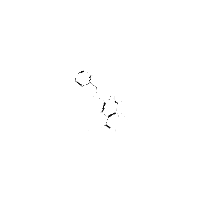 NC(=O)c1cc(OCc2ccccc2)ncc1Br